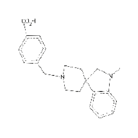 CN1CC2(CCN(Cc3ccc(C(=O)O)cc3)CC2)c2ccccc21